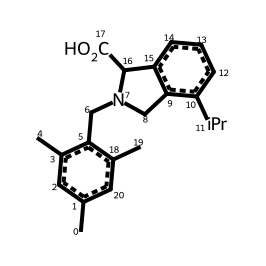 Cc1cc(C)c(CN2Cc3c(C(C)C)cccc3C2C(=O)O)c(C)c1